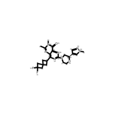 Cc1nc2c(C3CC4(C3)CC(F)(F)C4)nc(N3CCO[C@H](c4cnn(C)c4)C3)nc2c(=O)n1C